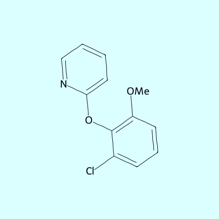 COc1cccc(Cl)c1Oc1ccccn1